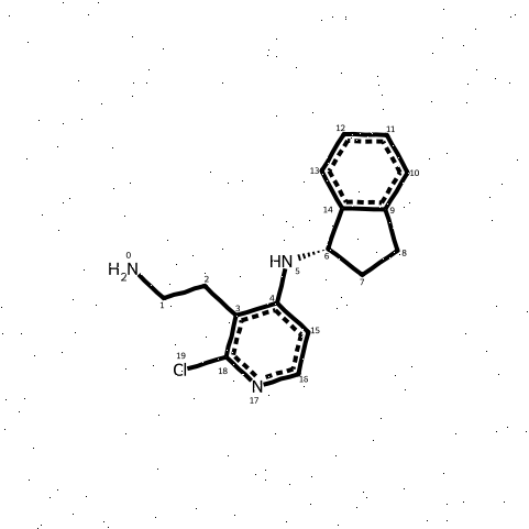 NCCc1c(N[C@H]2CCc3ccccc32)ccnc1Cl